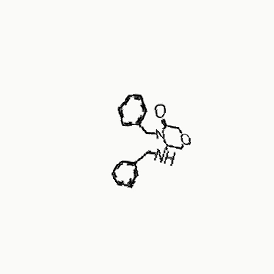 O=C1COC[C@@H](NCc2ccccc2)N1Cc1ccccc1